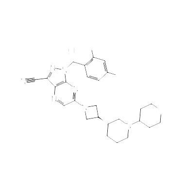 C[C@H](c1ccc(Cl)cc1Cl)n1nc(C#N)c2ncc(N3CC([C@@H]4CCCN(C5CCOCC5)C4)C3)nc21